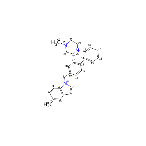 Cc1ccc2c(ccn2Cc2ccc(-c3ccccc3N3CCN(C)CC3)cc2)c1